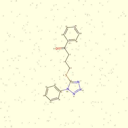 O=C(CCCSc1nnnn1-c1ccccc1)c1ccccc1